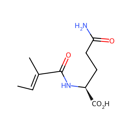 CC=C(C)C(=O)N[C@@H](CCC(N)=O)C(=O)O